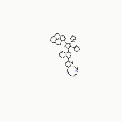 C1=C\C/C=C\c2ccc(-c3ccc(-c4sc(-c5ccc6ccc7cccc8ccc5c6c78)c(-c5ccccc5)c4-c4ccccc4)c4ccccc34)nc2C\N=C/1